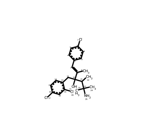 CC(=Cc1ccc(Cl)cc1)C(O)(Cc1ccc(Cl)cc1Cl)C(C)C(C)(C)N